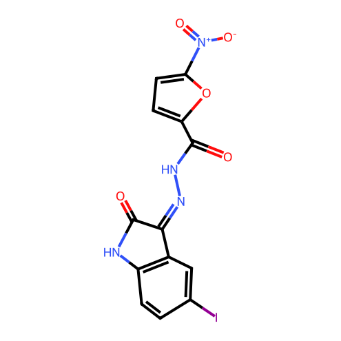 O=C1Nc2ccc(I)cc2C1=NNC(=O)c1ccc([N+](=O)[O-])o1